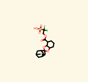 O=C(OCC(F)(F)S(=O)(=O)O)C1CCCC2OC3(OC21)C1CC2CC(C1)C3C2